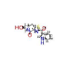 C[C@@H]1C[C@@H](O)CN1C(=O)c1csc(C(=O)c2c[nH]c3ccccc23)n1